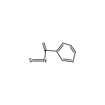 C=C(N=S)c1ccccc1